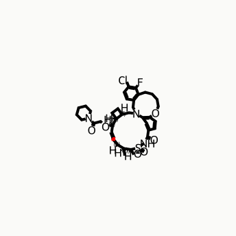 C[C@@H]1[C@@H](C)S(=O)(=O)NC(=O)c2ccc3c(c2)N(Cc2ccc(Cl)c(F)c2CCCCO3)C[C@@H]2CC[C@H]2[C@@H](OCC(=O)N2CCCCC2)C2=C[C@H]1C2